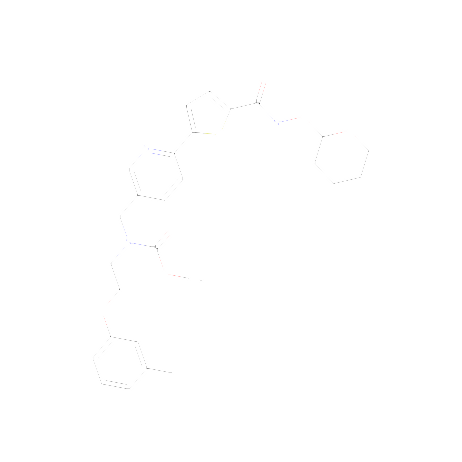 CC(C)(C)OC(=O)N(CCOc1cccc(C(F)(F)F)c1)Cc1ccc(-c2ccc(C(=O)NOC3CCCCO3)s2)nc1